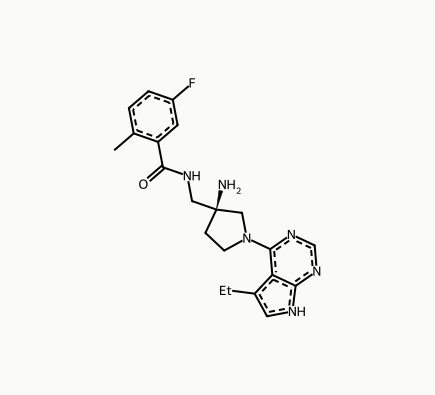 CCc1c[nH]c2ncnc(N3CC[C@](N)(CNC(=O)c4cc(F)ccc4C)C3)c12